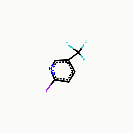 FC(F)(F)c1ccc(I)nc1